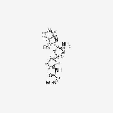 CCn1c(-c2nc(-c3cccc(NC(=O)CNC)c3)cnc2N)nc2cnccc21